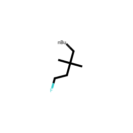 CCCCCC(C)(C)CCF